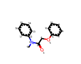 CN(C(=O)COc1ccccc1)c1ccccc1